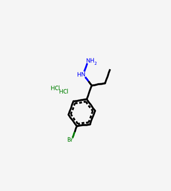 CCC(NN)c1ccc(Br)cc1.Cl.Cl